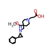 COCC1(CN[C@@H]2CC2c2ccccc2)CCN(CCC(=O)O)CC1